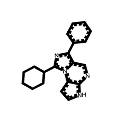 [c]1ccc(-c2nc(C3CCCCC3)n3c2cnc2[nH]ccc23)cc1